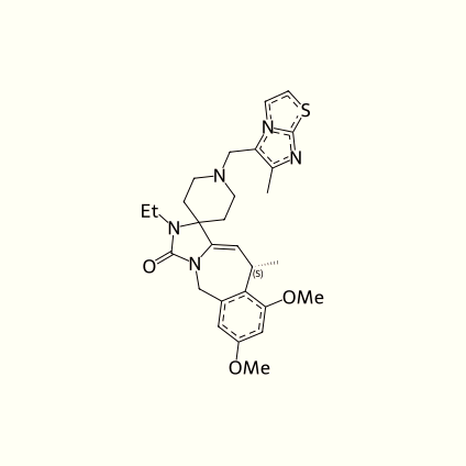 CCN1C(=O)N2Cc3cc(OC)cc(OC)c3[C@@H](C)C=C2C12CCN(Cc1c(C)nc3sccn13)CC2